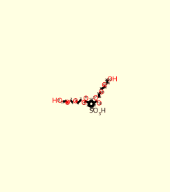 O=C(OCCOCCOCCO)c1cc(C(=O)OCCOCCOCCO)cc(S(=O)(=O)O)c1